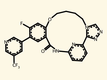 O=C1Nc2cccc(n2)-c2nncn2CCCCOc2cc(F)c(-c3cncc(C(F)(F)F)c3)cc21